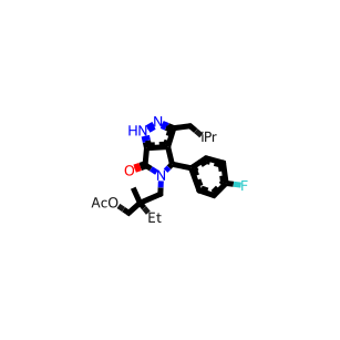 CCC(C)(COC(C)=O)CN1C(=O)c2[nH]nc(CC(C)C)c2C1c1ccc(F)cc1